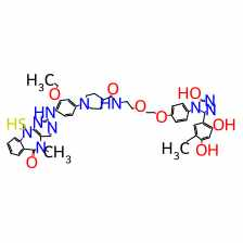 CCOc1cc(N2CCC(C(=O)NCCOCCOc3ccc(-n4c(O)nnc4-c4cc(CC)c(O)cc4O)cc3)CC2)ccc1Nc1ncc2c(n1)N(S)c1ccccc1C(=O)N2C